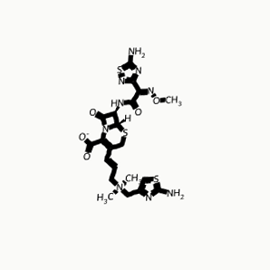 CO/N=C(\C(=O)N[C@@H]1C(=O)N2C(C(=O)[O-])=C(/C=C/C[N+](C)(C)Cc3csc(N)n3)CS[C@@H]12)c1nsc(N)n1